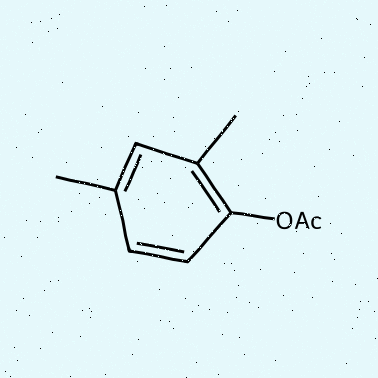 CC(=O)Oc1ccc(C)cc1C